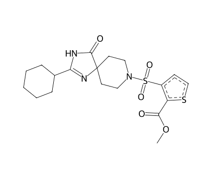 COC(=O)c1sccc1S(=O)(=O)N1CCC2(CC1)N=C(C1CCCCC1)NC2=O